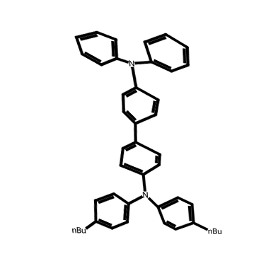 CCCCc1ccc(N(c2ccc(CCCC)cc2)c2ccc(-c3ccc(N(c4ccccc4)c4ccccc4)cc3)cc2)cc1